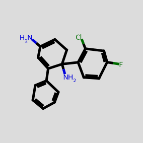 NC1=CCC(N)(c2ccc(F)cc2Cl)C(c2ccccc2)=C1